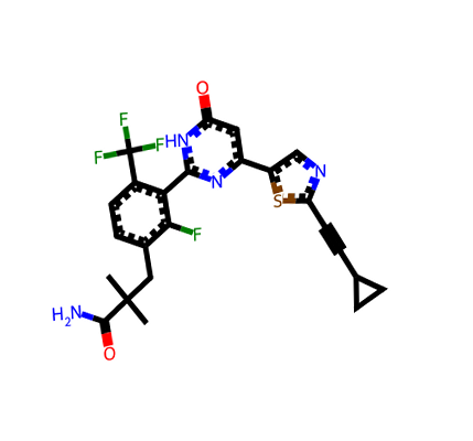 CC(C)(Cc1ccc(C(F)(F)F)c(-c2nc(-c3cnc(C#CC4CC4)s3)cc(=O)[nH]2)c1F)C(N)=O